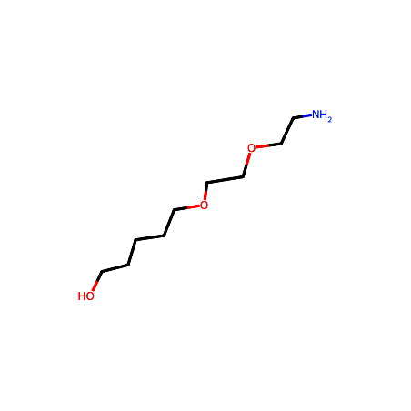 NCCOCCOCCCCCO